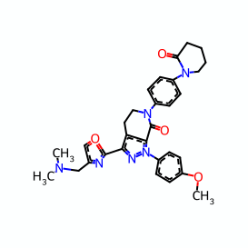 COc1ccc(-n2nc(-c3nc(CN(C)C)co3)c3c2C(=O)N(c2ccc(N4CCCCC4=O)cc2)CC3)cc1